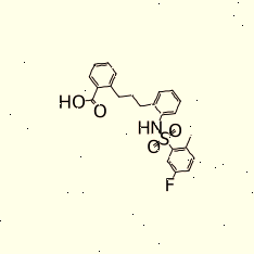 Cc1ccc(F)cc1S(=O)(=O)Nc1ccccc1CCCc1ccccc1C(=O)O